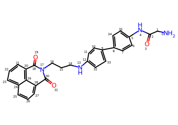 NCC(=O)Nc1ccc(-c2ccc(NCCCN3C(=O)c4cccc5cccc(c45)C3=O)cc2)cc1